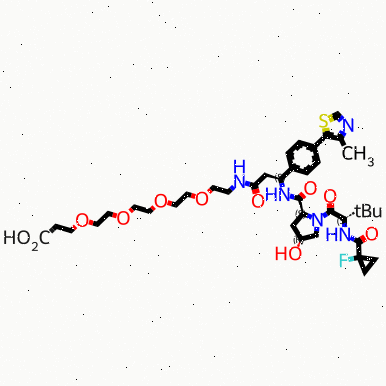 Cc1ncsc1-c1ccc([C@H](CC(=O)NCCOCCOCCOCCOCCC(=O)O)NC(=O)[C@@H]2C[C@@H](O)CN2C(=O)[C@@H](NC(=O)C2(F)CC2)C(C)(C)C)cc1